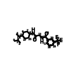 CC(C)N(C)C1CC[C](NC(=O)CNC(=O)c2cccc(C(F)(F)F)c2)CC1